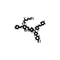 CCc1ccc(-c2ccc(N(c3ccc(C=Cc4ccccc4)cc3)c3ccc(C=Cc4cc(OCCC(C)CCCC(C)C)c(C=Cc5ccccc5)cc4OC)cc3)cc2)cc1